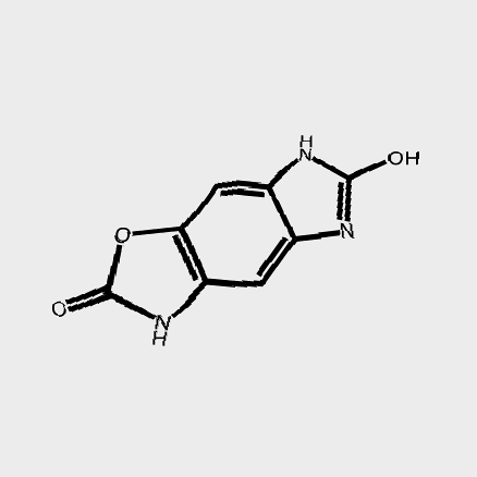 O=c1[nH]c2cc3nc(O)[nH]c3cc2o1